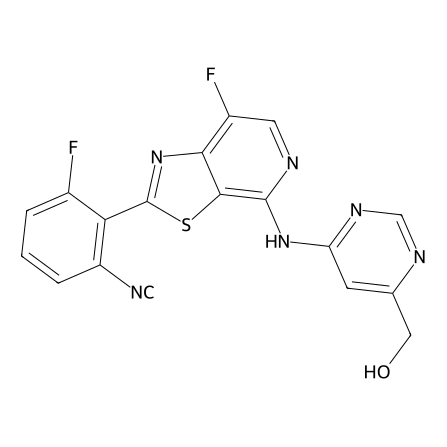 [C-]#[N+]c1cccc(F)c1-c1nc2c(F)cnc(Nc3cc(CO)ncn3)c2s1